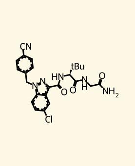 CC(C)(C)[C@H](NC(=O)c1nn(Cc2ccc(C#N)cc2)c2ccc(Cl)cc12)C(=O)NCC(N)=O